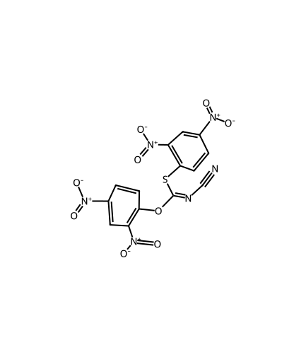 N#CN=C(Oc1ccc([N+](=O)[O-])cc1[N+](=O)[O-])Sc1ccc([N+](=O)[O-])cc1[N+](=O)[O-]